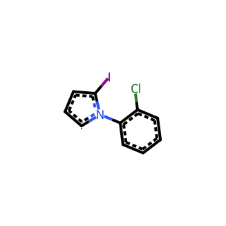 Clc1ccccc1-n1[c]ccc1I